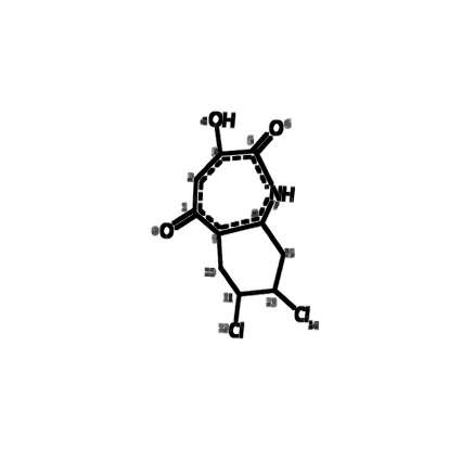 O=c1cc(O)c(=O)[nH]c2c1CC(Cl)C(Cl)C2